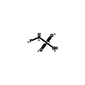 O=S(=O)(O)NF